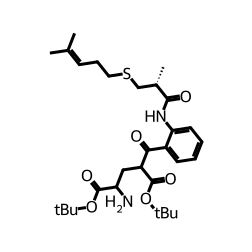 CC(C)=CCCSC[C@H](C)C(=O)Nc1ccccc1C(=O)C(CC(N)C(=O)OC(C)(C)C)C(=O)OC(C)(C)C